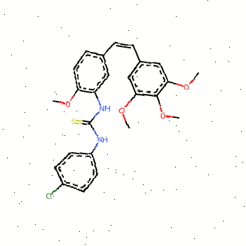 COc1ccc(/C=C\c2cc(OC)c(OC)c(OC)c2)cc1NC(=S)Nc1ccc(Cl)cc1